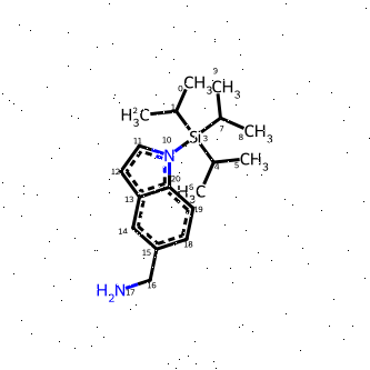 CC(C)[Si](C(C)C)(C(C)C)n1ccc2cc(CN)ccc21